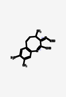 Cc1cc2c(cc1C)/N=C(C=O)\C(=N/C=O)C(C)CC2